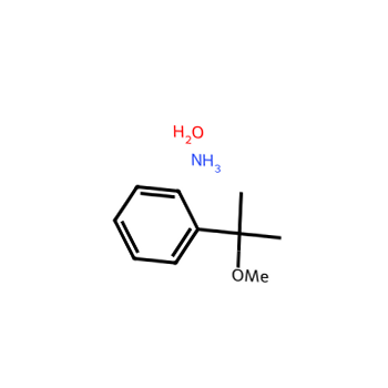 COC(C)(C)c1ccccc1.N.O